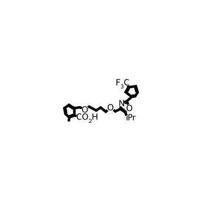 Cc1cccc(COCCCCOCc2nc(-c3cccc(C(F)(F)F)c3)oc2C(C)C)c1C(=O)O